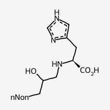 CCCCCCCCCCC(O)CN[C@@H](Cc1c[nH]cn1)C(=O)O